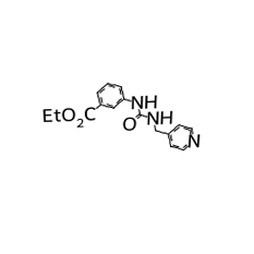 CCOC(=O)c1cccc(NC(=O)NCc2ccncc2)c1